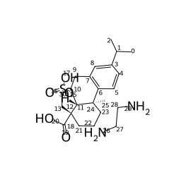 CC(C)c1ccc2c(c1)CC[C@H]1[C@@](CS(=O)(=O)O)(C(=O)O)CCC[C@]21C.NCCN